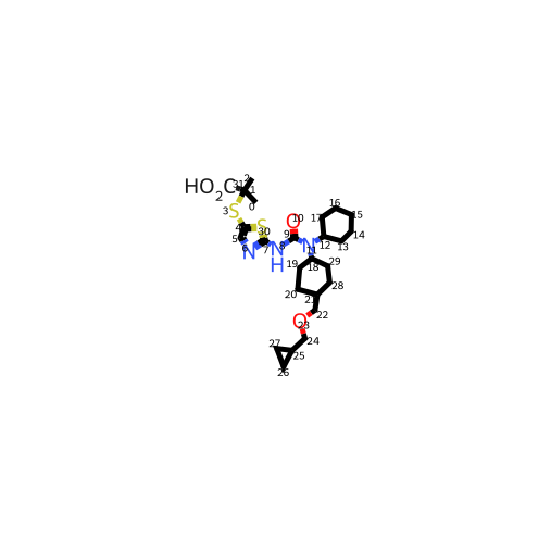 CC(C)(Sc1cnc(NC(=O)N(C2CCCCC2)C2CCC(COCC3CC3)CC2)s1)C(=O)O